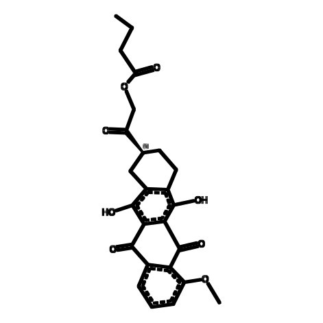 CCCC(=O)OCC(=O)[C@H]1CCc2c(O)c3c(c(O)c2C1)C(=O)c1cccc(OC)c1C3=O